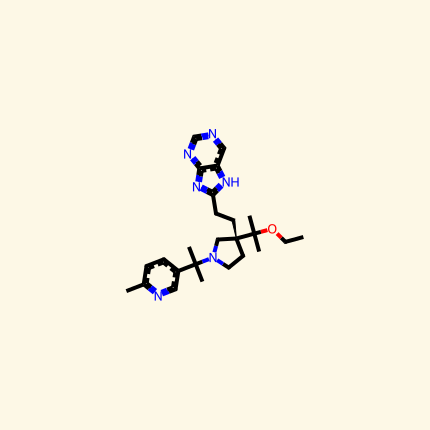 CCOC(C)(C)[C@]1(CCc2nc3ncncc3[nH]2)CCN(C(C)(C)c2ccc(C)nc2)C1